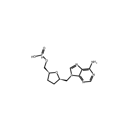 Nc1ncnc2c1ncn2C[C@H]1CC[C@@H](CO[PH](=O)O)O1